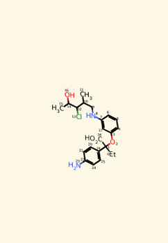 CCC(Oc1cccc(NCC(C)C(Cl)C(C)O)c1)(C(=O)O)c1ccc(N)cc1